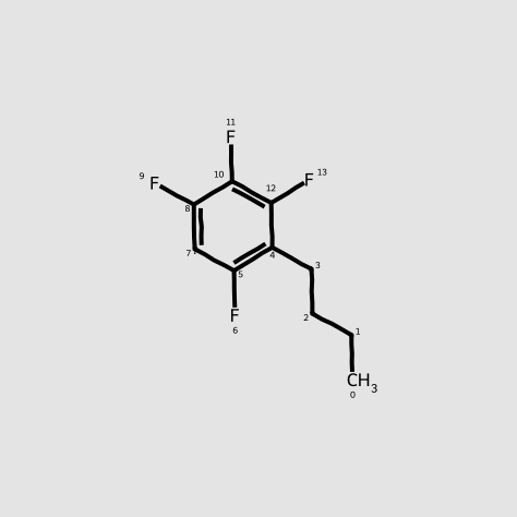 CCCCc1c(F)[c]c(F)c(F)c1F